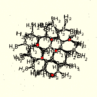 BBB(B)B(B(B)B)B(B(B(B(B)B)B(B)B)B(B(B)B)B(B)B)B(B(B(B(B(B)B)B(B)B)B(B(B)B)B(B)B)B(B(B(B)B)B(B)B)B(B(B)B)B(B)B)B(B(B(B(B)B)B(B)B)B(B(B)B)B(B)B)B(B(B(B)B)B(B)B)B(B(B)B)B(B)B